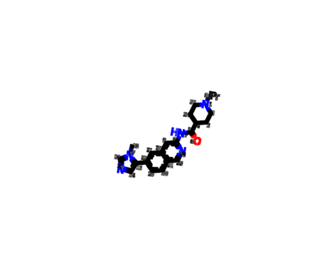 CC(C)N1CCC(C(=O)Nc2cc3cc(-c4cncn4C)ccc3cn2)CC1